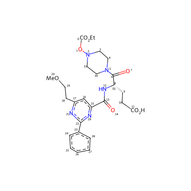 CCOC(=O)ON1CCN(C(=O)[C@H](CCC(=O)O)NC(=O)c2cc(CCOC)nc(-c3ccccc3)n2)CC1